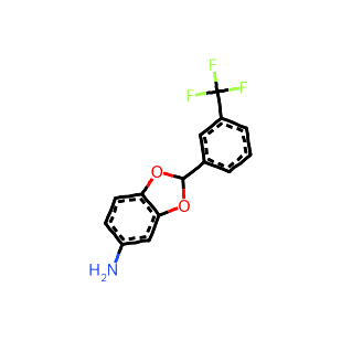 Nc1ccc2c(c1)OC(c1cccc(C(F)(F)F)c1)O2